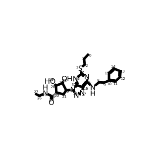 CCCSc1nc(NCCc2ccccc2)c2nnn(C3C[C@H](C(=O)NCC)C(O)C3O)c2n1